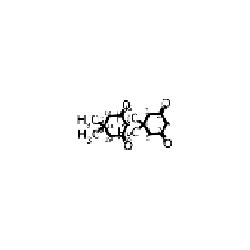 CC1(C)CC(=O)CC(=O)C1.CC1(C)CC(=O)CC(=O)C1